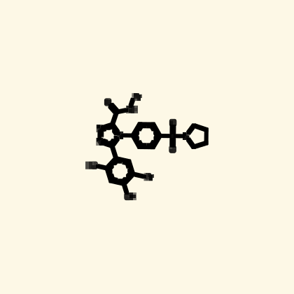 CC(C)NC(=O)c1nnc(-c2cc(C(C)C)c(O)cc2O)n1-c1ccc(S(=O)(=O)N2CCCC2)cc1